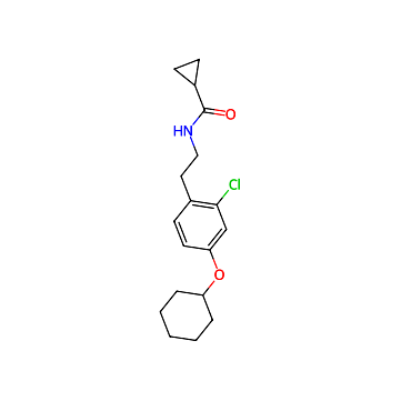 O=C(NCCc1ccc(OC2CCCCC2)cc1Cl)C1CC1